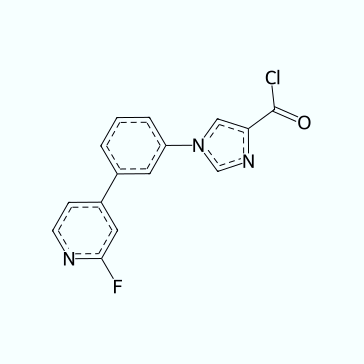 O=C(Cl)c1cn(-c2cccc(-c3ccnc(F)c3)c2)cn1